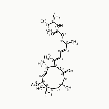 CC[C@@H](O)[C@@H](C)NC(=O)OC[C@@H](C)/C=C/C=C(\C)[C@H]1OC(=O)C[C@@H](O)CC[C@](C)(O)[C@@H](OC(C)=O)/C=C/[C@@H]1C